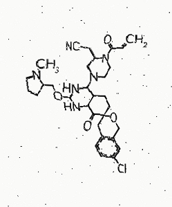 C=CC(=O)N1CCN(C2NC(OCC3CCCN3C)NC3C(=O)[C@@]4(CCC32)Cc2ccc(Cl)cc2CO4)CC1CC#N